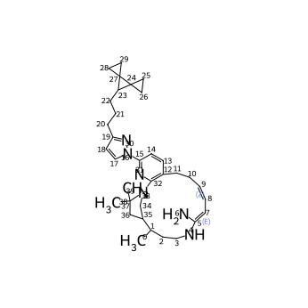 CC1CCN/C(N)=C/C=C\CCc2ccc(-n3ccc(CCCC4C5(CC5)C45CC5)n3)nc2N2CC1CC2(C)C